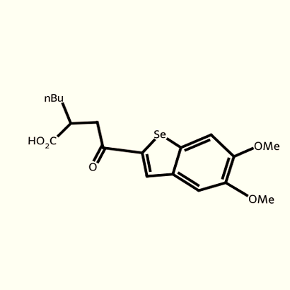 CCCCC(CC(=O)c1cc2cc(OC)c(OC)cc2[se]1)C(=O)O